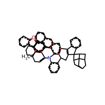 CC1C=C(c2cccc3cccc(C4CCCCC4)c23)C(N(c2ccccc2-c2ccc3c(c2)oc2ccccc23)c2ccccc2C2C=CC3=C(C2)C2(c4ccccc43)C3CC4CC5CC2C53C4)=CC1